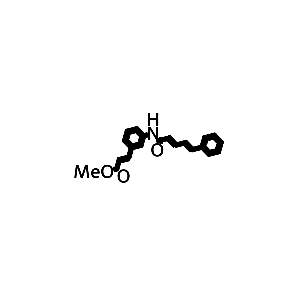 COC(=O)C=Cc1cccc(NC(=O)C=CC=Cc2ccccc2)c1